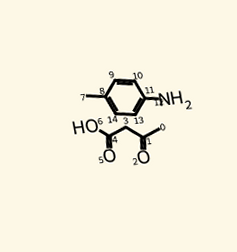 CC(=O)CC(=O)O.Cc1ccc(N)cc1